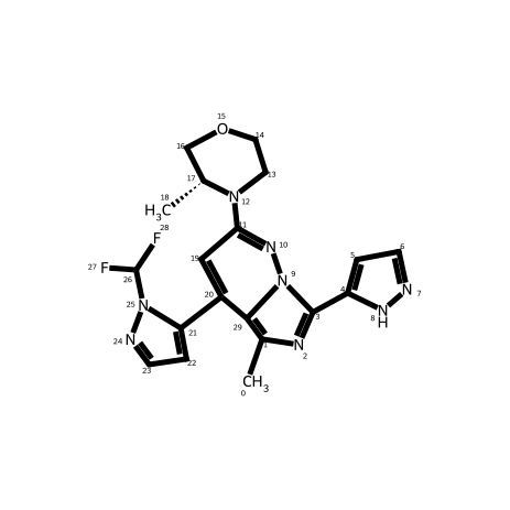 Cc1nc(-c2ccn[nH]2)n2nc(N3CCOC[C@H]3C)cc(-c3ccnn3C(F)F)c12